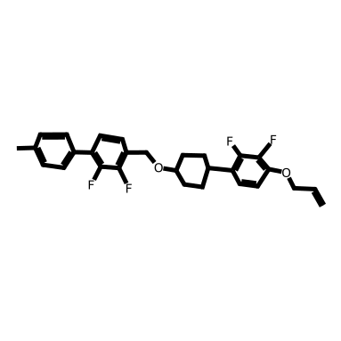 C=CCOc1ccc(C2CCC(OCc3ccc(-c4ccc(C)cc4)c(F)c3F)CC2)c(F)c1F